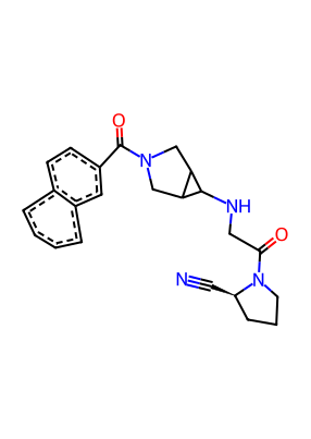 N#C[C@@H]1CCCN1C(=O)CNC1C2CN(C(=O)c3ccc4ccccc4c3)CC21